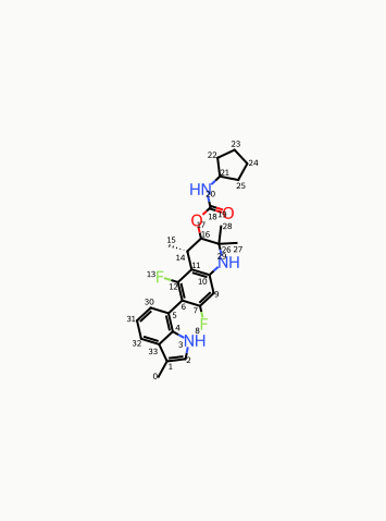 Cc1c[nH]c2c(-c3c(F)cc4c(c3F)[C@H](C)C(OC(=O)NC3CCCC3)C(C)(C)N4)cccc12